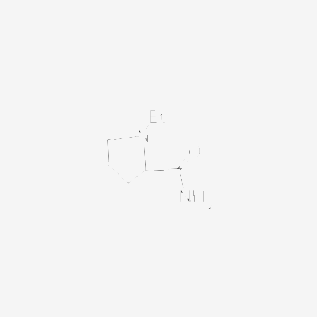 [CH2]CN1CCCC1C(N)=O